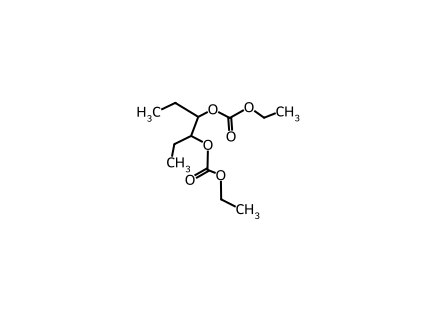 CCOC(=O)OC(CC)C(CC)OC(=O)OCC